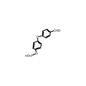 CCCCCCCCOc1ccc(Oc2ccc([C]=O)cc2)cc1